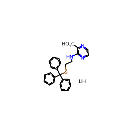 O=C(O)c1nccnc1NCCSC(c1ccccc1)(c1ccccc1)c1ccccc1.[LiH]